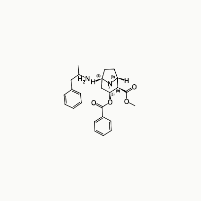 CC(N)Cc1ccccc1.COC(=O)[C@H]1[C@@H](OC(=O)c2ccccc2)C[C@@H]2CC[C@H]1N2C